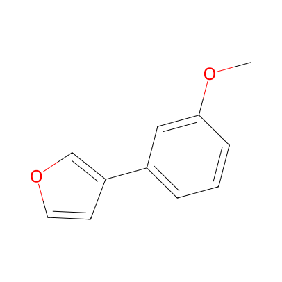 COc1cccc(-c2ccoc2)c1